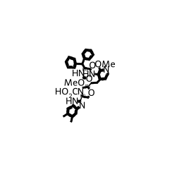 COC(=O)N[C@H](C(=O)Nc1c(CC[C@@H]2CN(C(=O)O)[C@H](c3nc4cc(C)c(C)cc4[nH]3)CO2)ccnc1OC)C(c1ccccc1)c1ccccc1